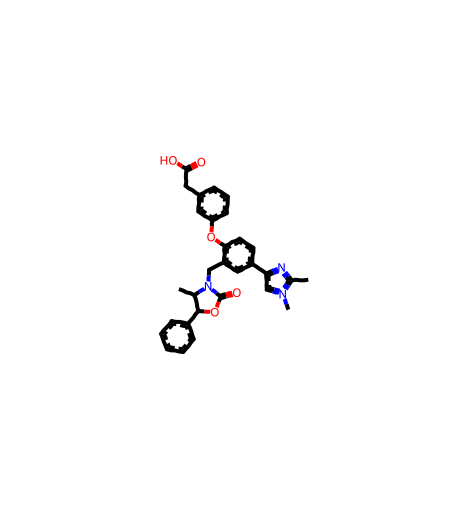 Cc1nc(-c2ccc(Oc3cccc(CC(=O)O)c3)c(CN3C(=O)OC(c4ccccc4)C3C)c2)cn1C